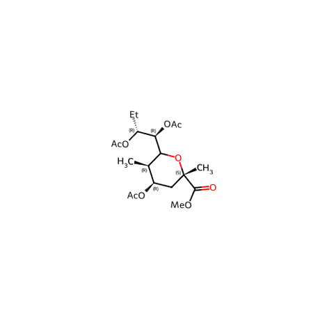 CC[C@@H](OC(C)=O)[C@@H](OC(C)=O)C1O[C@](C)(C(=O)OC)C[C@@H](OC(C)=O)[C@H]1C